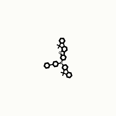 CC1(C)c2ccccc2-c2ccc(N(c3ccc(-c4ccccc4)cc3)c3ccc4c(c3)oc3c5c(ccc34)-c3ccccc3C5(C)C)cc21